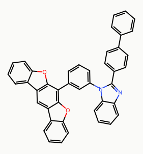 c1ccc(-c2ccc(-c3nc4ccccc4n3-c3cccc(-c4c5oc6ccccc6c5cc5c4oc4ccccc45)c3)cc2)cc1